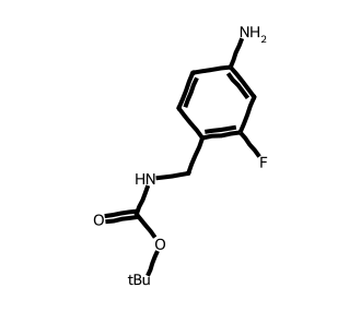 CC(C)(C)OC(=O)NCc1ccc(N)cc1F